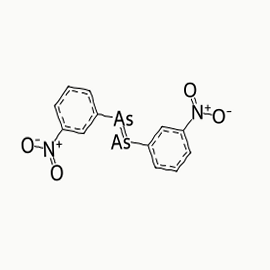 O=[N+]([O-])c1cccc([As]=[As]c2cccc([N+](=O)[O-])c2)c1